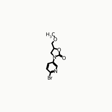 COCC1CN(c2ccc(Br)nc2)C(=O)O1